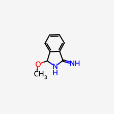 COC1NC(=N)c2ccccc21